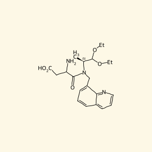 CCOC(OCC)[C@H](C)N(Cc1cccc2cccnc12)C(=O)C(N)CC(=O)O